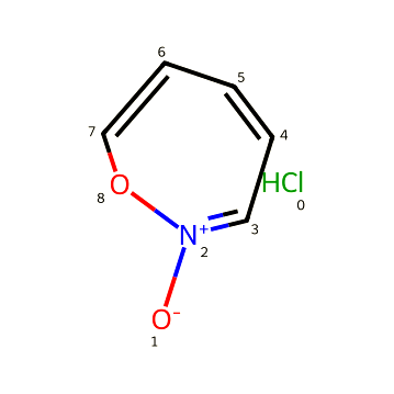 Cl.[O-][N+]1=CC=CC=CO1